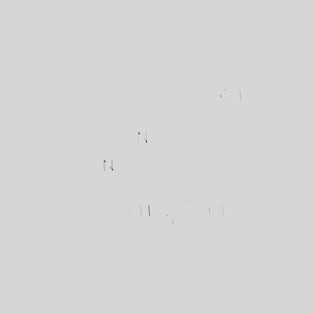 CCCCn1c(-c2ccccc2)nc(C)c1CC(=O)O